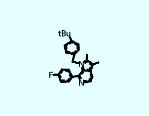 Cc1c(C)n(Cc2ccc(C(C)(C)C)cc2)c2c(-c3ccc(F)cc3)nccc12